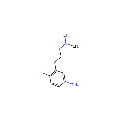 CN(C)CCCc1cc(N)ccc1I